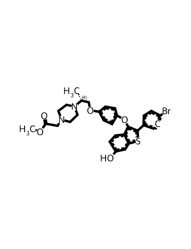 COC(=O)CN1CCN([C@H](C)COc2ccc(Oc3c(-c4ccc(Br)cc4)sc4cc(O)ccc34)cc2)CC1